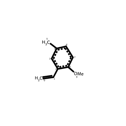 C=Cc1cc(C)ccc1OC